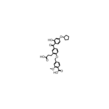 COc1cc(COc2ccc(C(=O)c3ccc(OC4CCCC4)cc3O)cc2CCC(=O)O)ccc1C(=O)O